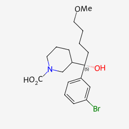 COCCCC[C@@](O)(c1cccc(Br)c1)C1CCCN(C(=O)O)C1